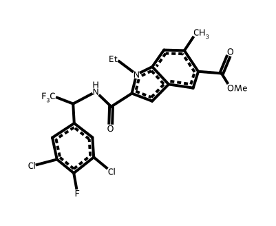 CCn1c(C(=O)NC(c2cc(Cl)c(F)c(Cl)c2)C(F)(F)F)cc2cc(C(=O)OC)c(C)cc21